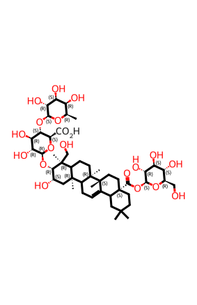 C[C@H]1O[C@@H](O[C@H]2[C@H](O)[C@@H](O)[C@H](O[C@H]3[C@@H](O)C[C@@]4(C)C(CC[C@]5(C)C4CC=C4C6CC(C)(C)CC[C@]6(C(=O)O[C@@H]6O[C@H](CO)[C@@H](O)[C@H](O)[C@H]6O)CC[C@]45C)[C@]3(C)CO)O[C@@H]2C(=O)O)[C@H](O)[C@@H](O)[C@H]1O